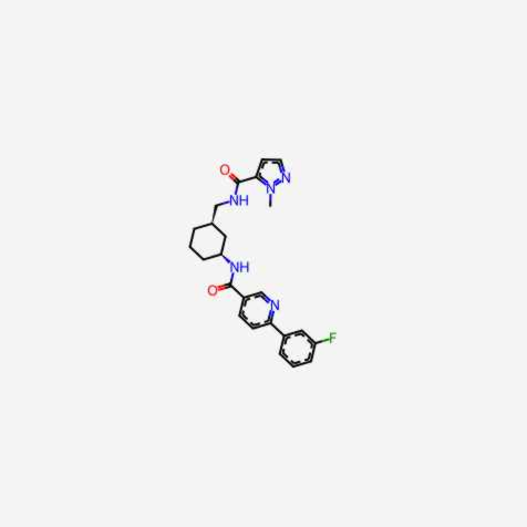 Cn1nccc1C(=O)NC[C@@H]1CCC[C@H](NC(=O)c2ccc(-c3cccc(F)c3)nc2)C1